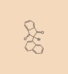 O=C1c2ccccc2C(=O)C1(Br)c1cccc2ccccc12